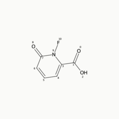 O=C(O)c1cccc(=O)n1F